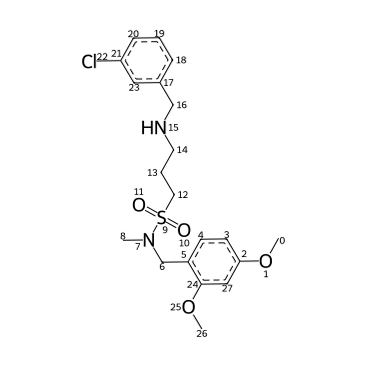 COc1ccc(CN(C)S(=O)(=O)CCCNCc2cccc(Cl)c2)c(OC)c1